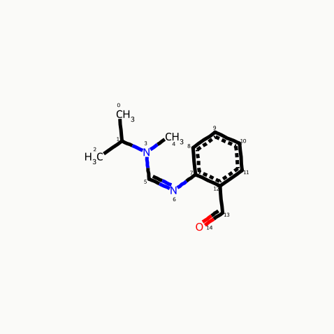 CC(C)N(C)/C=N\c1ccccc1C=O